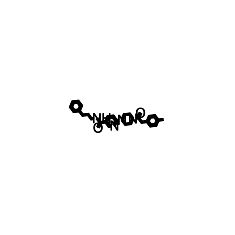 Cc1ccc(CC(=O)N2CCN(c3ccc(C(=O)NCCCc4ccccc4)cn3)CC2)cc1